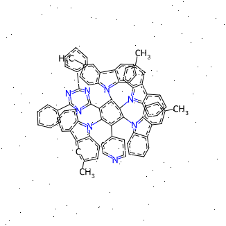 Cc1ccc2c(c1)c1ccccc1n2-c1c(-c2ccncc2)c(-n2c3ccccc3c3cc(C)ccc32)c(-n2c3ccccc3c3cc(C)ccc32)c(-n2c3ccccc3c3cc(C)ccc32)c1-c1nc(-c2ccccc2)nc(-c2ccccc2)n1